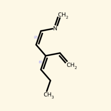 C=CC(/C=C\N=C)=C\CC